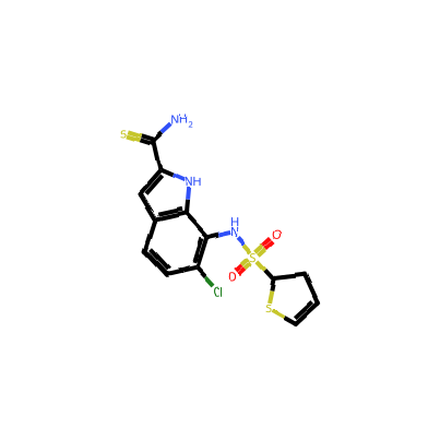 NC(=S)c1cc2ccc(Cl)c(NS(=O)(=O)C3CC=CS3)c2[nH]1